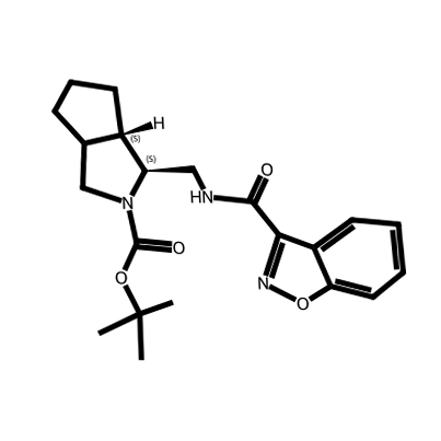 CC(C)(C)OC(=O)N1CC2CCC[C@@H]2[C@H]1CNC(=O)c1noc2ccccc12